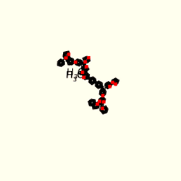 CC1(C)c2ccc(-c3ccc(-c4ccc(N(c5ccc(-c6ccccc6)cc5)c5ccc(-c6ccc7c(c6)c6c8ccccc8ccc6n7-c6ccccc6)cc5)cc4)cc3)cc2-c2ccc(N(c3ccccc3)c3ccc(-c4ccc5c(c4)c4ccccc4n5-c4ccccc4)cc3)cc21